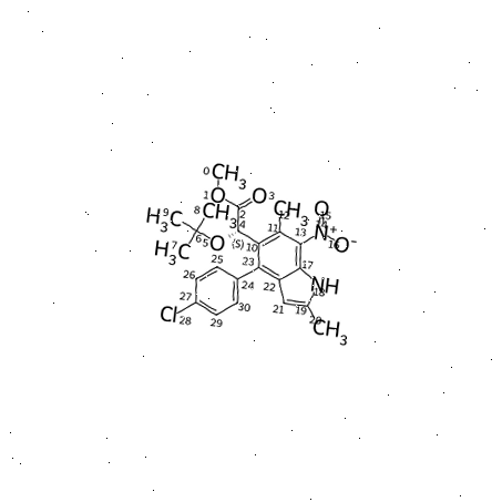 COC(=O)[C@@H](OC(C)(C)C)c1c(C)c([N+](=O)[O-])c2[nH]c(C)cc2c1-c1ccc(Cl)cc1